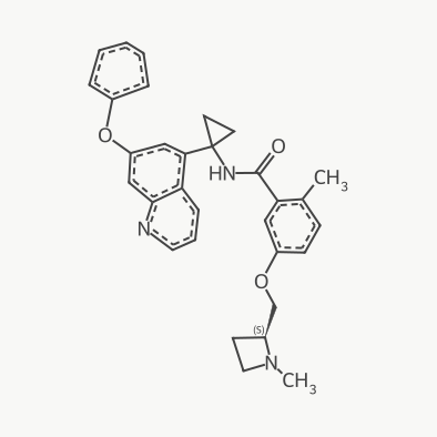 Cc1ccc(OC[C@@H]2CCN2C)cc1C(=O)NC1(c2cc(Oc3ccccc3)cc3ncccc23)CC1